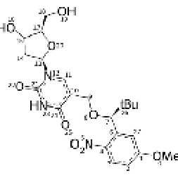 COc1ccc([N+](=O)[O-])c([C@@H](OCc2cn([C@H]3CC(O)[C@@H](CO)O3)c(=O)[nH]c2=O)C(C)(C)C)c1